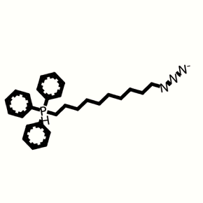 [N-]=[N+]=NCCCCCCCCCC[PH](c1ccccc1)(c1ccccc1)c1ccccc1